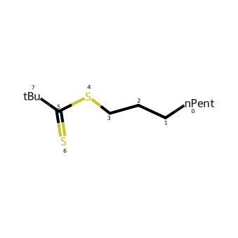 CCCCCCCCSC(=S)C(C)(C)C